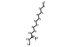 CCCCCCCCCCC[C@H](I)CI